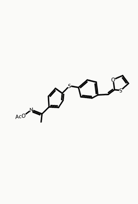 CC(=O)O/N=C(\C)c1ccc(Sc2ccc(/C=C3\OC=CS3)cc2)cc1